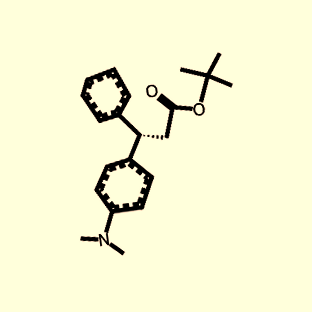 CN(C)c1ccc([C@@H](CC(=O)OC(C)(C)C)c2ccccc2)cc1